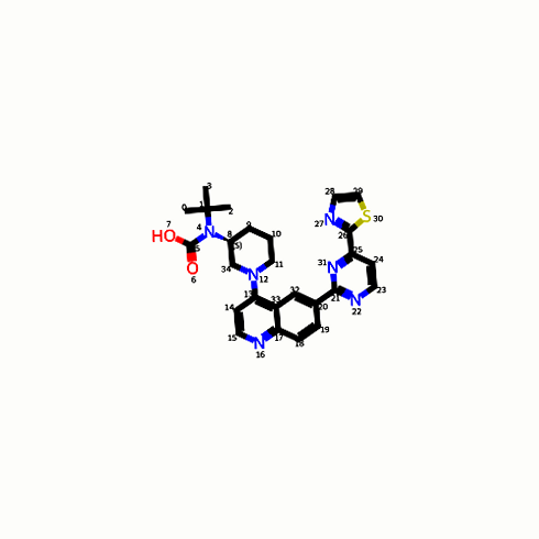 CC(C)(C)N(C(=O)O)[C@H]1CCCN(c2ccnc3ccc(-c4nccc(-c5nccs5)n4)cc23)C1